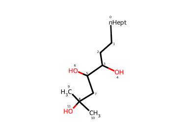 CCCCCCCCCC(O)C(O)CC(C)(C)O